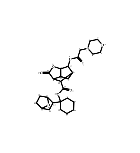 O=C(CN1CCOCC1)OC1C2CC3C1OC(=O)C3C2C(=O)OC1(C2CC3CCC2O3)CCCCC1